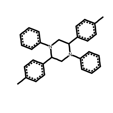 Cc1ccc(C2CN(c3ccccc3)C(c3ccc(C)cc3)CN2c2ccccc2)cc1